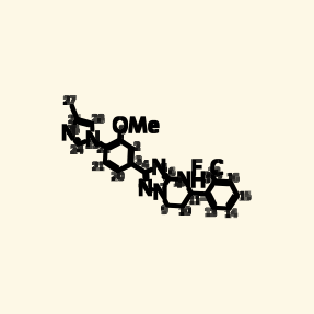 COc1cc(-c2nc3n(n2)CCC(c2ccccc2C(F)(F)F)N3)ccc1-n1cnc(C)c1